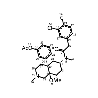 CO[C@]12CC[C@@H](N(C)C(=O)Cc3ccc(Cl)c(Cl)c3)C[C@]1(c1cccc(OC(C)=O)c1)CCN(C)C2